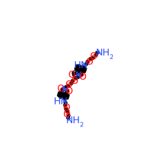 NCCOCCOCCNc1ccc2c3c(cccc13)C(=O)N(CCOCCOCCn1c(=O)c3ccc(NCCOCCOCCN)c4cccc(c1=C=O)c43)C2=O